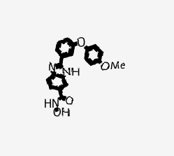 COc1ccc(Oc2cccc(-c3nc4ccc(C(=O)NO)cc4[nH]3)c2)cc1